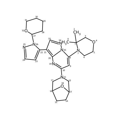 CC1(C)COCCN1c1cc(N2CC3CCC(C2)O3)nc2c(-c3ccnn3C3CCCCO3)cnn12